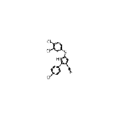 N#Cc1cc(Sc2ccc(Cl)c(Cl)c2)[nH]c1-c1ccc(Cl)cc1